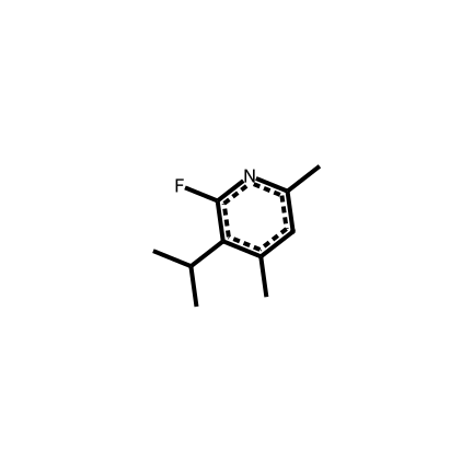 Cc1cc(C)c(C(C)C)c(F)n1